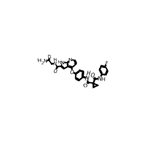 NC(=O)CNC(=O)c1cc2c(Oc3ccc(NC(=O)C4(C(=O)Nc5ccc(F)cc5)CC4)cc3)ccnc2[nH]1